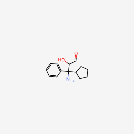 NC(c1ccccc1)(C(O)C=O)C1CCCC1